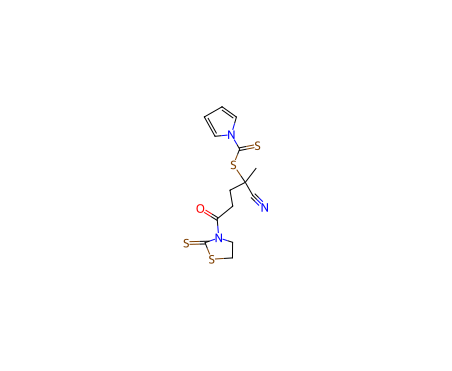 CC(C#N)(CCC(=O)N1CCSC1=S)SC(=S)n1cccc1